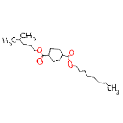 CCCCCCCCOC(=O)C1CCC(C(=O)OCCCC(C)C)CC1